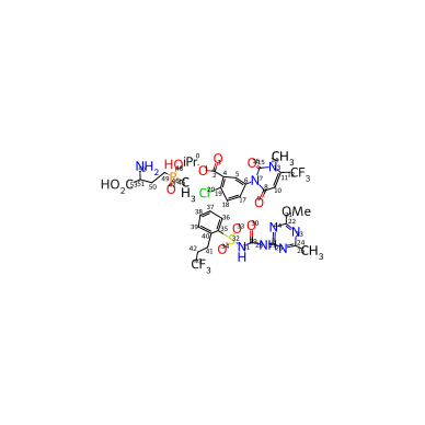 CC(C)OC(=O)c1cc(-n2c(=O)cc(C(F)(F)F)n(C)c2=O)ccc1Cl.COc1nc(C)nc(NC(=O)NS(=O)(=O)c2ccccc2CCC(F)(F)F)n1.CP(=O)(O)CCC(N)C(=O)O